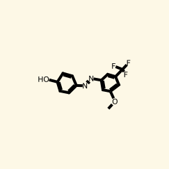 COc1cc(/N=N/c2ccc(O)cc2)cc(C(F)(F)F)c1